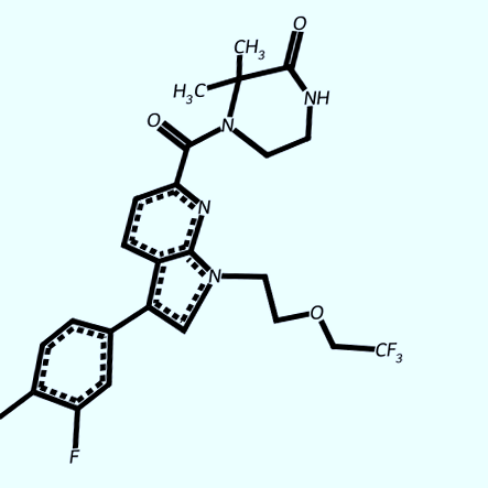 CC1(C)C(=O)NCCN1C(=O)c1ccc2c(-c3ccc(Cl)c(F)c3)cn(CCOCC(F)(F)F)c2n1